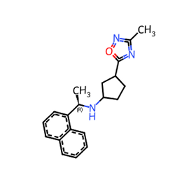 Cc1noc(C2CCC(N[C@H](C)c3cccc4ccccc34)C2)n1